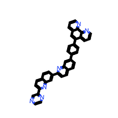 c1cnc2c(c1)cc(-c1ccc(-c3ccc4ccc(-c5ccc6ccc(-c7cnccn7)nc6c5)nc4c3)cc1)c1cccnc12